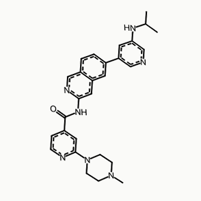 CC(C)Nc1cncc(-c2ccc3cnc(NC(=O)c4ccnc(N5CCN(C)CC5)c4)cc3c2)c1